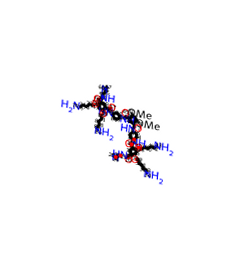 COc1cc(OC)c(C(=O)N[C@H]2CC[C@H](NC(=O)c3cc(C(=O)NCCN(C)C)c(OCCCCCN)cc3OCCCCCN)CC2)cc1C(=O)N[C@H]1CC[C@H](NC(=O)c2cc(C(=O)NCCN(C)C)c(OCCCCCN)cc2OCCCCCN)CC1